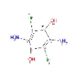 NC1=C(Br)C(O)C(N)=C(Br)C1O